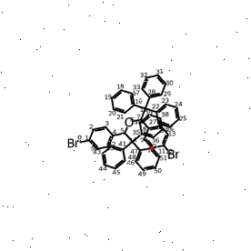 Brc1ccc(C(OC(c2ccc(Br)cc2)C(c2ccccc2)(c2ccccc2)c2ccccc2)C(c2ccccc2)(c2ccccc2)c2ccccc2)cc1